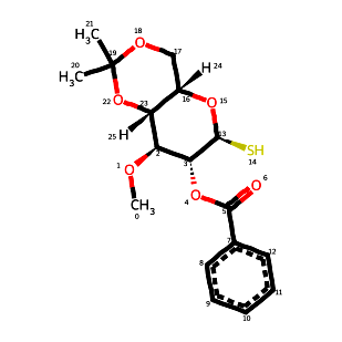 CO[C@@H]1[C@@H](OC(=O)c2ccccc2)[C@H](S)O[C@H]2COC(C)(C)O[C@@H]12